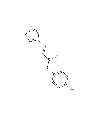 [O-][S+](C=Cc1ccoc1)Cc1ccc(F)cc1